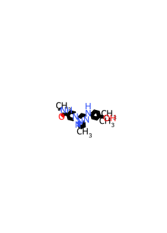 CCNC(=O)C1CCN(c2cc(Nc3ccc(C(C)(C)O)cc3)nc3cc(C)nn23)CC1